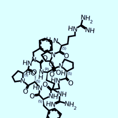 N=C(N)NCCC[C@H](N)C(=O)N1CCCC1C(=O)N1CCC[C@H]1C(=O)NCC(=O)N[C@@H](Cc1ccccc1)C(=O)N[C@@H](CO)C(=O)N1CCC[C@H]1C(=O)NN(Cc1ccccc1)C(=O)N[C@H](CCCNC(=N)N)C(=O)O